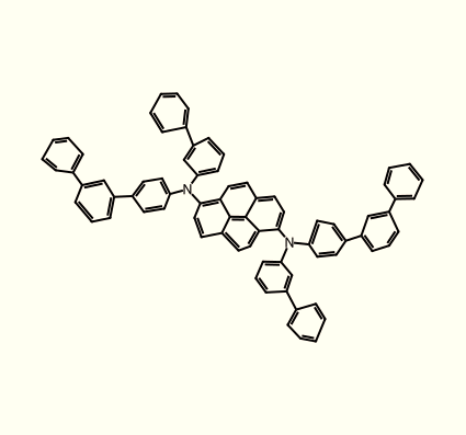 c1ccc(-c2cccc(-c3ccc(N(c4cccc(-c5ccccc5)c4)c4ccc5ccc6c(N(c7ccc(-c8cccc(-c9ccccc9)c8)cc7)c7cccc(-c8ccccc8)c7)ccc7ccc4c5c76)cc3)c2)cc1